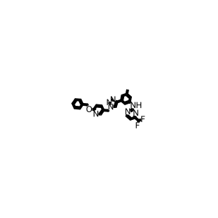 Cc1cc(Nc2nccc(C(F)F)n2)cc(-c2cn(Cc3ccc(OCc4ccccc4)nc3)nn2)c1